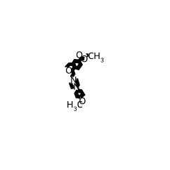 CCOC(=O)c1ccc2c(c1)CCOC2CCN1CCN(c2ccc(OC)cc2)CC1